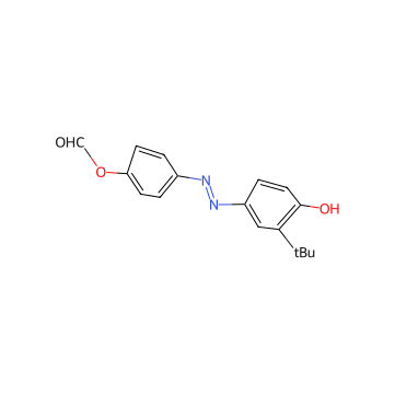 CC(C)(C)c1cc(N=Nc2ccc(OC=O)cc2)ccc1O